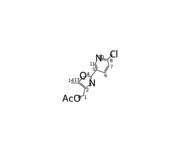 CC(=O)OCc1nc(-c2ccc(Cl)nc2)oc1C